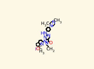 C=CCn1c(=O)c2cnc(Nc3ccc(N4CCN(C)C[C@@H]4C)cc3)nc2n1-c1ccc2c(n1)[C@@](C)(OI)CC2